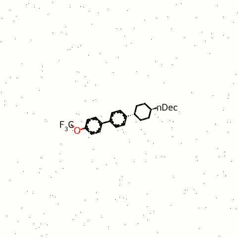 CCCCCCCCCC[C@H]1CC[C@H](c2ccc(-c3ccc(OC(F)(F)F)cc3)cc2)CC1